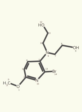 COc1ccc(N(CCO)CCO)c(Br)n1